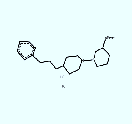 CCCCCC1CCCN(N2CCC(CCCc3ccccc3)CC2)C1.Cl.Cl